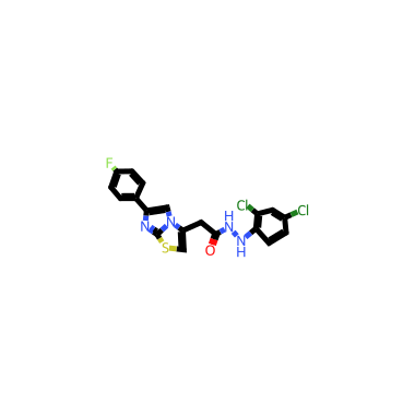 O=C(Cc1csc2nc(-c3ccc(F)cc3)cn12)NNc1ccc(Cl)cc1Cl